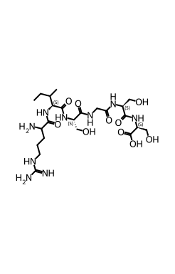 CCC(C)[C@H](NC(=O)C(N)CCCNC(=N)N)C(=O)N[C@@H](CO)C(=O)NCC(=O)N[C@@H](CO)C(=O)N[C@@H](CO)C(=O)O